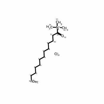 CCCCCCCCCCCCCCCCCCCCCC(=O)[N+](C)(C)C.[Cl-]